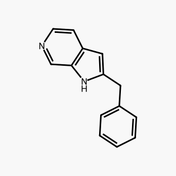 c1ccc(Cc2cc3ccncc3[nH]2)cc1